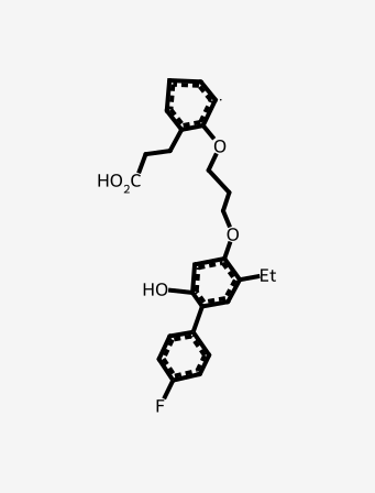 CCc1cc(-c2ccc(F)cc2)c(O)cc1OCCCOc1[c]cccc1CCC(=O)O